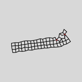 C1CC2C1C1CC3C4CC5C6C7C8C9C%10C%11C%12C%13C%14C%15C%16C%17C%18C%19C%20C%21CC%22C%23CC%24C%25C%26C%27C%28C%29C%30C%31C%32C%33C%34C%35C%36C%37C%38C1C1%39C23C45C61C71C%38%39C%372C81C91C%362C%352C%101C%111C%342C%332C%121C%131C%143C%154C%165C%176C%187C%198C%209C%22%21C%23%24C%259C%268C%277C%286C%295C%304C%313C%3221